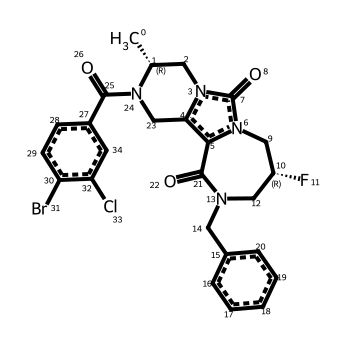 C[C@@H]1Cn2c(c3n(c2=O)C[C@H](F)CN(Cc2ccccc2)C3=O)CN1C(=O)c1ccc(Br)c(Cl)c1